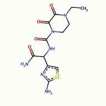 CCN1CCN(C(=O)NC(C(N)=O)c2csc(N)n2)C(=O)C1=O